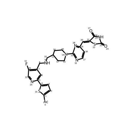 CC(=O)c1ccc(-c2cc(CNCC3CCN(c4nccc(/C=C5\SC(=O)NC5=O)n4)CC3)c(F)cn2)s1